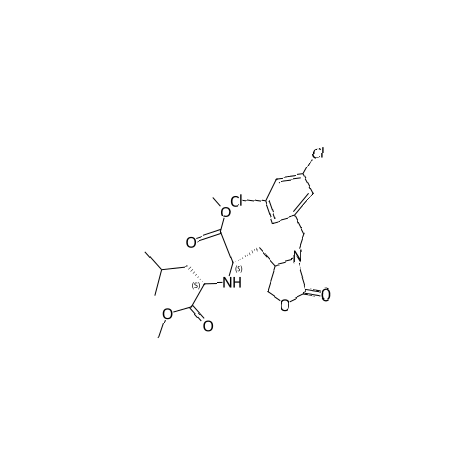 COC(=O)[C@H](CC(C)C)N[C@@H](CC1COC(=O)N1Cc1cc(Cl)cc(Cl)c1)C(=O)OC